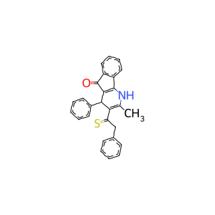 CC1=C(C(=S)Cc2ccccc2)C(c2ccccc2)C2=C(N1)c1ccccc1C2=O